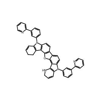 C1=Cc2c(c3c4oc5c(ccc6c5c5c(n6-c6cccc(-c7ccccn7)c6)C=CCN5)c4ccc3n2-c2cccc(-c3ccccn3)c2)CC1